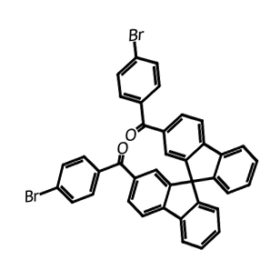 O=C(c1ccc(Br)cc1)c1ccc2c(c1)C1(c3ccccc3-2)c2ccccc2-c2ccc(C(=O)c3ccc(Br)cc3)cc21